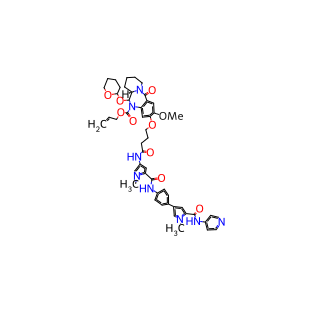 C=CCOC(=O)N1c2cc(OCCCC(=O)Nc3cc(C(=O)Nc4ccc(-c5cc(C(=O)Nc6ccncc6)n(C)c5)cc4)n(C)c3)c(OC)cc2C(=O)N2CCCC[C@H]2C1OC1CCCCO1